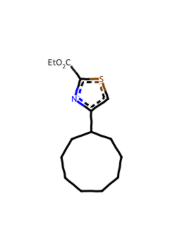 CCOC(=O)c1nc(C2CCCCCCCC2)cs1